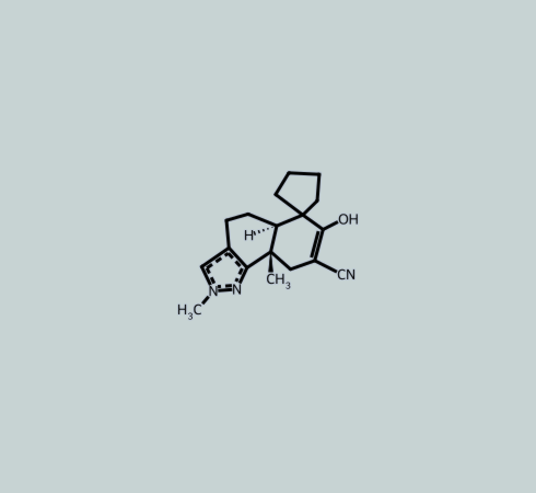 Cn1cc2c(n1)[C@@]1(C)CC(C#N)=C(O)C3(CCCC3)[C@@H]1CC2